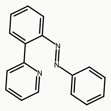 c1ccc(N=Nc2ccccc2-c2ccccn2)cc1